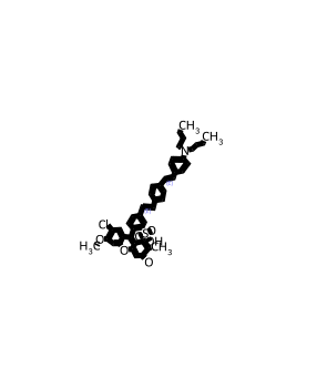 CCCCN(CCCC)c1ccc(/C=C/c2ccc(/C=C/c3ccc(-c4c5cc(C)c(=O)cc-5oc5cc(OC)c(Cl)cc45)c(S(=O)(=O)O)c3)cc2)cc1